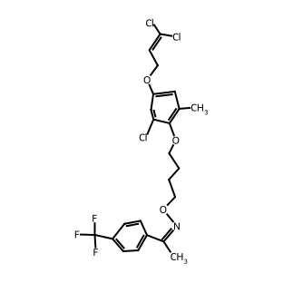 CC(=NOCCCCOc1c(C)cc(OCC=C(Cl)Cl)cc1Cl)c1ccc(C(F)(F)F)cc1